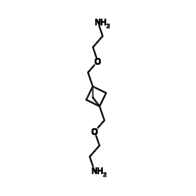 NCCOCC12CC(COCCN)(C1)C2